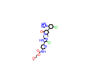 COCCOC(=O)Nc1ccc(-c2[nH]c(Cn3c(C)cc(-c4cc(Cl)ccc4-n4cnnn4)cc3=O)nc2Cl)nc1